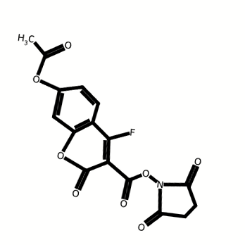 CC(=O)Oc1ccc2c(F)c(C(=O)ON3C(=O)CCC3=O)c(=O)oc2c1